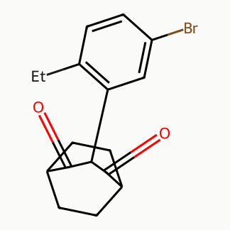 CCc1ccc(Br)cc1C1C(=O)C2CCC(CC2)C1=O